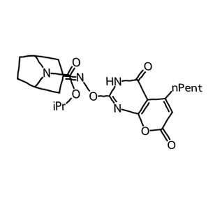 CCCCCc1cc(=O)oc2nc(ON=C3CC4CCC(C3)N4C(=O)OC(C)C)[nH]c(=O)c12